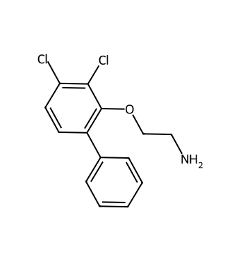 NCCOc1c(-c2ccccc2)ccc(Cl)c1Cl